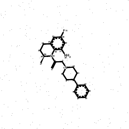 C=C(CN1CCC(c2ccccc2)CC1)N1c2c(N)cc(F)cc2CC[C@@H]1C